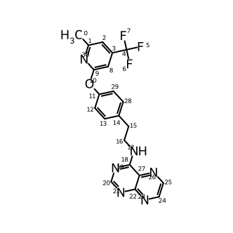 Cc1cc(C(F)(F)F)cc(Oc2ccc(CCNc3ncnc4nccnc34)cc2)n1